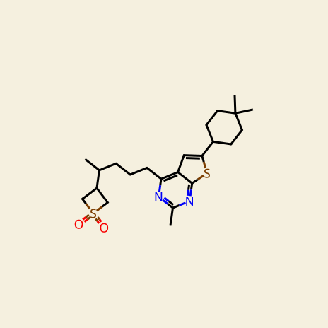 Cc1nc(CCCC(C)C2CS(=O)(=O)C2)c2cc(C3CCC(C)(C)CC3)sc2n1